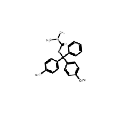 COc1ccc(C(OC(=O)N(C)C)(c2ccccc2)c2ccc(OC)cc2)cc1